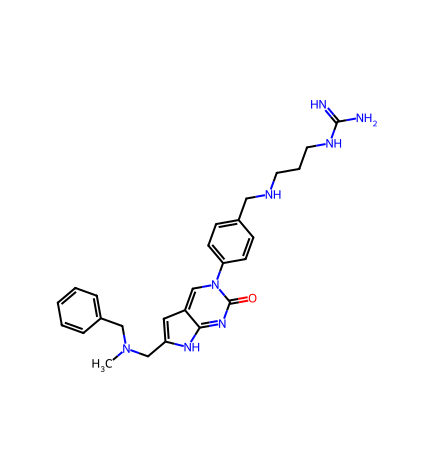 CN(Cc1ccccc1)Cc1cc2cn(-c3ccc(CNCCCNC(=N)N)cc3)c(=O)nc2[nH]1